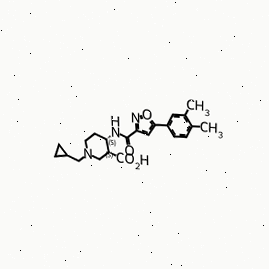 Cc1ccc(-c2cc(C(=O)N[C@H]3CCN(CC4CC4)C[C@@H]3C(=O)O)no2)cc1C